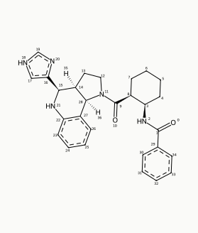 O=C(N[C@@H]1CCCC[C@@H]1C(=O)N1CC[C@@H]2[C@H](c3c[nH]cn3)Nc3ccccc3[C@@H]21)c1ccccc1